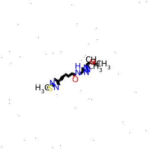 CCOC(C)(C)Cn1cc(CNC(=O)CCCC#Cc2cnc(SC)nc2)nn1